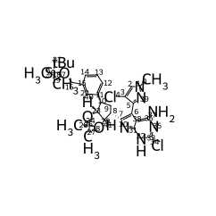 Cn1cc(Cl)c(-c2c([C@H]3C[C@H](c4cccc(CO[Si](C)(C)C(C)(C)C)c4)[C@H]4OC(C)(C)O[C@H]43)nc3[nH]c(Cl)nc(N)c2-3)n1